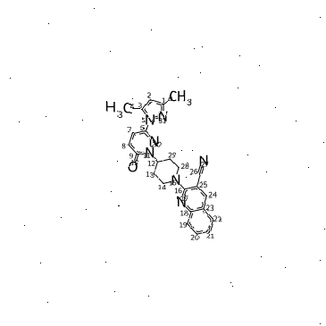 Cc1cc(C)n(-c2ccc(=O)n(C3CCN(c4nc5ccccc5cc4C#N)CC3)n2)n1